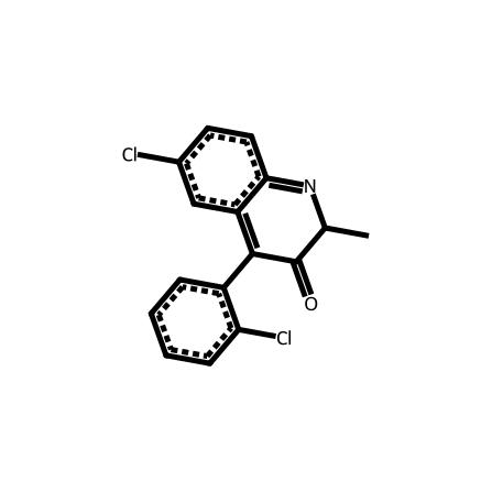 CC1N=c2ccc(Cl)cc2=C(c2ccccc2Cl)C1=O